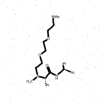 CNCCOCCOCCN(C)[C@H](C(=O)N[C@H](C(C)=O)C(C)C)C(C)C